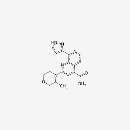 CC1COCCN1c1cc(C(N)=O)c2ccnc(-c3cc[nH]n3)c2n1